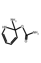 NC(=O)OC1(N)C=CC=CN1